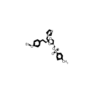 CCOc1ccc(CC[C@@]2(Cn3ccnc3)OC[C@H](COS(=O)(=O)c3ccc(C)cc3)O2)cc1